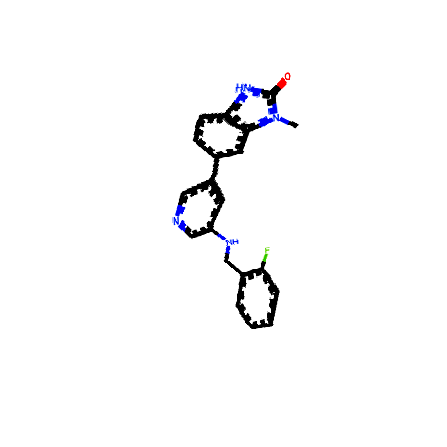 Cn1c(=O)[nH]c2ccc(-c3cncc(NCc4ccccc4F)c3)cc21